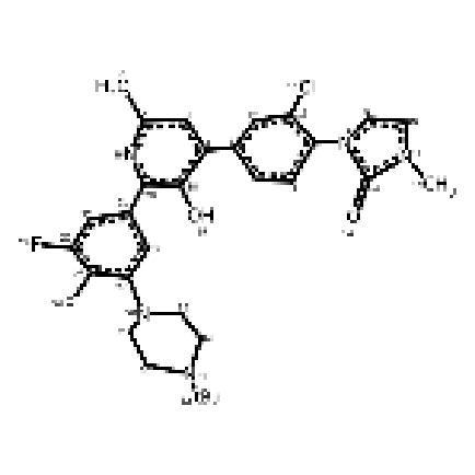 Cc1cc(-c2ccc(-n3ccn(C)c3=O)c(Cl)c2)c(O)c(-c2cc(F)c(F)c(N3CCN(C(C)(C)C)CC3)c2)n1